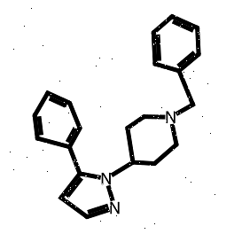 c1ccc(CN2CCC(n3nccc3-c3ccccc3)CC2)cc1